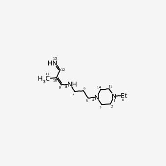 CCN1CCN(CCCN/C=C(/C)C=N)CC1